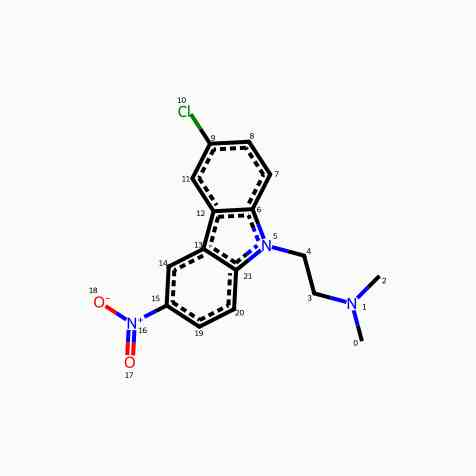 CN(C)CCn1c2ccc(Cl)cc2c2cc([N+](=O)[O-])ccc21